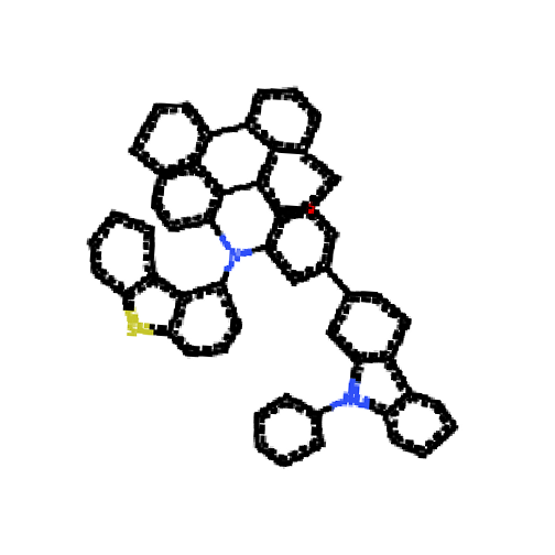 c1ccc(-c2cccc3cccc(-c4ccccc4N(c4cccc(-c5ccc6c7ccccc7n(-c7ccccc7)c6c5)c4)c4cccc5sc6ccccc6c45)c23)cc1